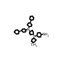 Cc1ccc(N(c2ccc(N)cc2)c2ccc(N(c3ccc(-c4ccccc4)cc3)c3ccc(-c4ccccc4)cc3)cc2)cc1